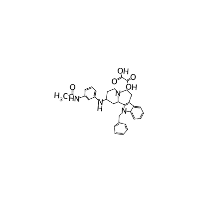 CC(=O)Nc1cccc(NC2CCN3CCc4c(n(Cc5ccccc5)c5ccccc45)C3C2)c1.O=C(O)C(=O)O